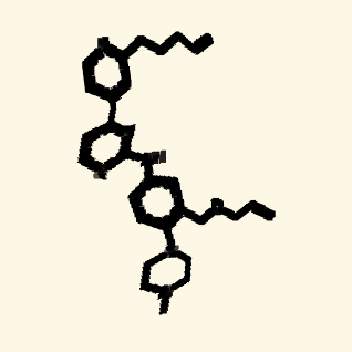 C=CCCCc1cc(-c2ccnc(Nc3ccc(N4CCN(C)CC4)c(COCC=C)c3)n2)ccn1